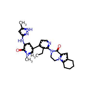 CCc1c(-c2cc(Nc3cc(C)[nH]n3)c(=O)n(C)c2)ccnc1N1CCn2c(cc3c2CCCC3)C1=O